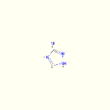 [N].c1nc[nH]n1